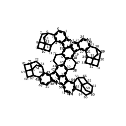 c1cc2c(c3c1C1CC4CC5CC3C45C1)c1c3c4c(c5c6c7c(ncc6n2c15)C1CC2CC5CC7C25C1)CCc1c-4c(c2c4c5c(ccc4n4c6cnc7c(c6c1c24)C1CC2CC(CC7C2)C1)C1CC2CC4CC5CC421)CC3